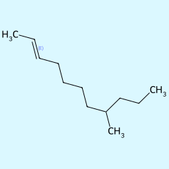 C/C=C/CCCCC(C)CCC